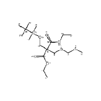 CCOC(=O)C(COCSC)(CO[Si](C)(C)C(C)(C)C)C(=O)OCC